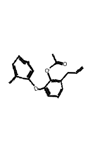 C=CCc1cccc(Oc2ccccc2C)c1OC(C)=O